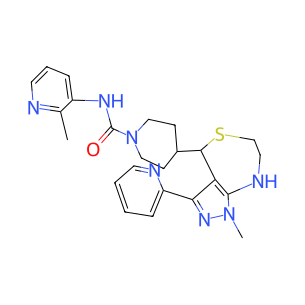 Cc1ncccc1NC(=O)N1CCC(C2SCCNc3c2c(-c2ccccn2)nn3C)CC1